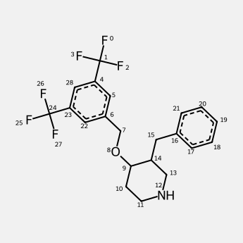 FC(F)(F)c1cc(COC2CCNCC2Cc2ccccc2)cc(C(F)(F)F)c1